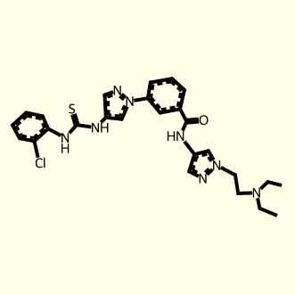 CCN(CC)CCn1cc(NC(=O)c2cccc(-n3cc(NC(=S)Nc4ccccc4Cl)cn3)c2)cn1